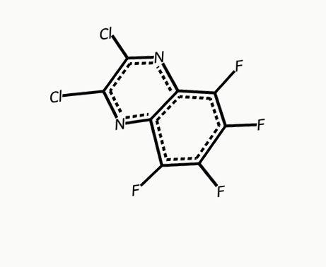 Fc1c(F)c(F)c2nc(Cl)c(Cl)nc2c1F